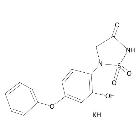 O=C1CN(c2ccc(Oc3ccccc3)cc2O)S(=O)(=O)N1.[KH]